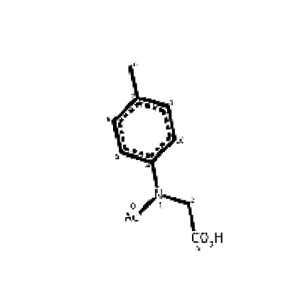 CC(=O)N(CC(=O)O)c1ccc(C)cc1